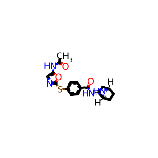 CC(=O)Nc1cnc(Sc2ccc(C(=O)N[C@@H]3C[C@H]4CC[C@@H]3N4)cc2)o1